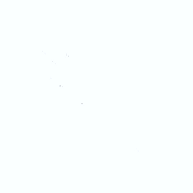 N#Cc1ccc(N2CCN(C(=O)n3nccn3)CC2)cc1